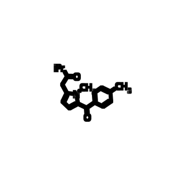 Cc1ccc(C(=O)c2ccc(CC(=O)C(C)C)n2C)cc1